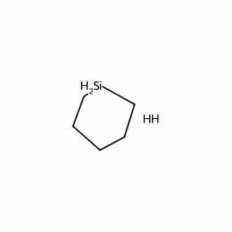 C1CC[SiH2]CC1.[HH]